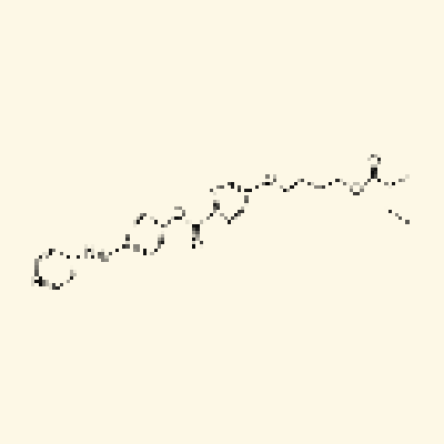 CCC(C)C(=O)OCCCCOc1ccc(C(=O)Oc2ccc(N=Nc3ccncc3)cc2)cc1